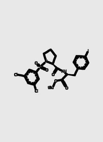 CC(C)(C)OC(=O)[C@H](Cc1ccc(I)cc1)NC(=O)[C@@H]1CCCN1S(=O)(=O)c1cc(Cl)cc(Cl)c1